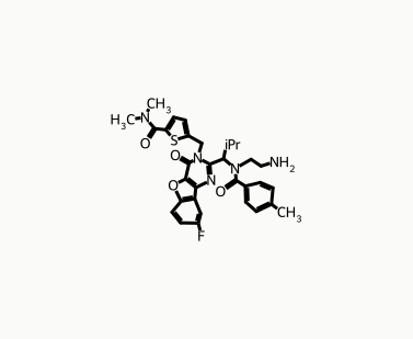 Cc1ccc(C(=O)N(CCN)C(c2nc3c(oc4ccc(F)cc43)c(=O)n2Cc2ccc(C(=O)N(C)C)s2)C(C)C)cc1